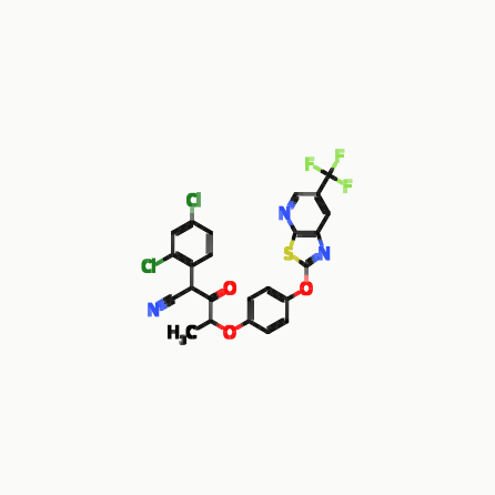 CC(Oc1ccc(Oc2nc3cc(C(F)(F)F)cnc3s2)cc1)C(=O)C(C#N)c1ccc(Cl)cc1Cl